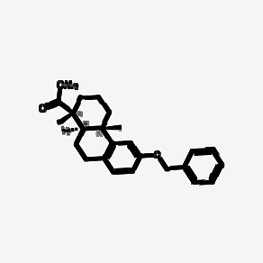 COC(=O)[C@]1(C)CCC[C@]2(C)c3cc(OCc4ccccc4)ccc3CC[C@@H]12